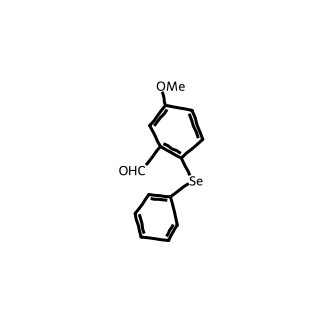 COc1ccc([Se]c2ccccc2)c(C=O)c1